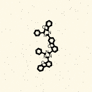 c1ccc(-c2nc(-c3cccc4c3oc3ccccc34)nc(-c3cccc4c3oc3cc(-c5nc(-c6ccccc6)c6oc7ccccc7c6n5)ccc34)n2)cc1